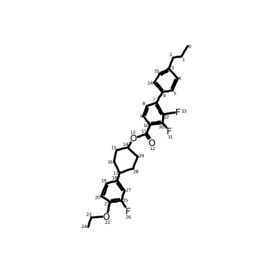 CCCc1ccc(-c2ccc(C(=O)OC3CCC(c4ccc(OCC)c(F)c4)CC3)c(F)c2F)cc1